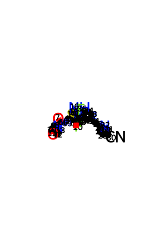 C[C@@H]1[C@@](C)(/C=C/C(=O)N2CCOCC2)SC(N)=N[C@]1(CF)c1cc(C#Cc2ccc(C#N)cn2)ccc1F